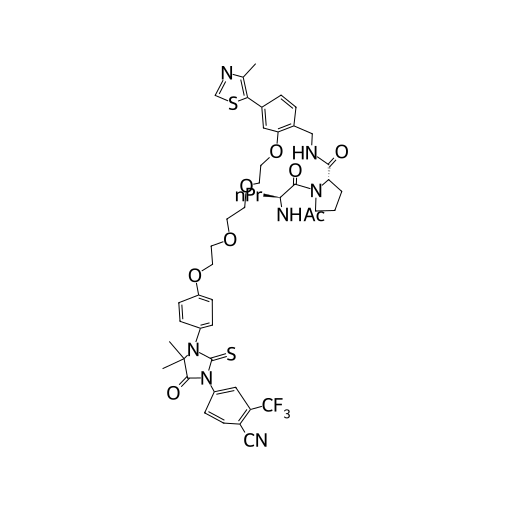 CCC[C@H](NC(C)=O)C(=O)N1CCC[C@H]1C(=O)NCc1ccc(-c2scnc2C)cc1OCCOCCOCCOc1ccc(N2C(=S)N(c3ccc(C#N)c(C(F)(F)F)c3)C(=O)C2(C)C)cc1